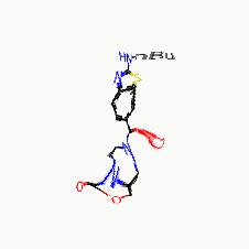 CCCCNc1nc2ccc(C(=O)N3CCN4C(=O)OCC4C3)cc2s1